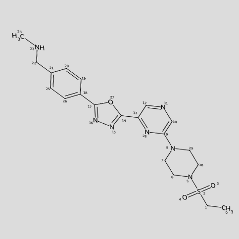 CCS(=O)(=O)N1CCN(c2cncc(-c3nnc(-c4ccc(CNC)cc4)o3)n2)CC1